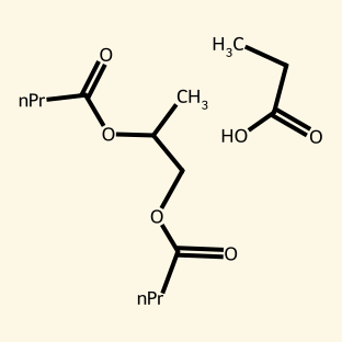 CCC(=O)O.CCCC(=O)OCC(C)OC(=O)CCC